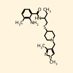 CCC(CSC1CCN(Cc2cn(C)nc2C)CC1)NC(=O)c1cccc(C)c1N